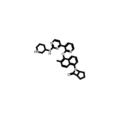 Cc1ccc2c(N3C(=O)C4CCCC43)cccc2c1Oc1ncccc1-c1ccnc(NC2CCCNC2)n1